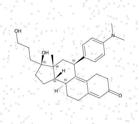 CN(C)c1ccc([C@@H]2C[C@]3(C)[C@@H](CC[C@]3(O)CCCO)[C@@H]3CCC4=CC(=O)CCC4=C23)cc1